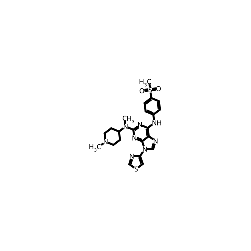 CN1CCC(N(C)c2nc(Nc3ccc(S(C)(=O)=O)cc3)c3ncn(-c4cscn4)c3n2)CC1